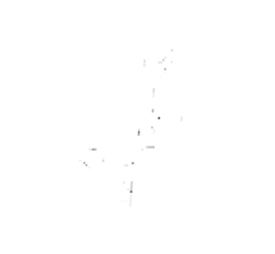 CS(=O)(=O)OC[C@H]1CN(c2ccc(C3=CC(Cc4ccccc4)NCC3)c(F)c2)C(=O)O1